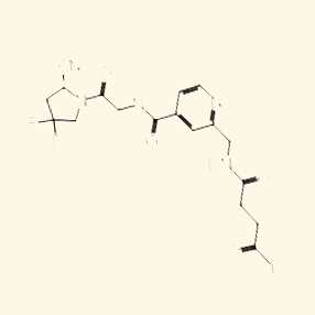 CC(C)C(=O)CCC(=O)NCc1cc(C(=O)NCC(=O)N2CC(F)(F)C[C@H]2C#N)ccn1